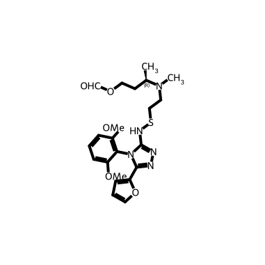 COc1cccc(OC)c1-n1c(NSCCN(C)[C@H](C)CCOC=O)nnc1-c1ccco1